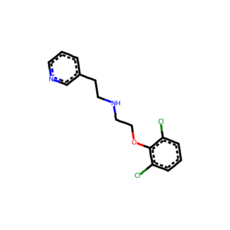 Clc1cccc(Cl)c1OCCNCCc1cccnc1